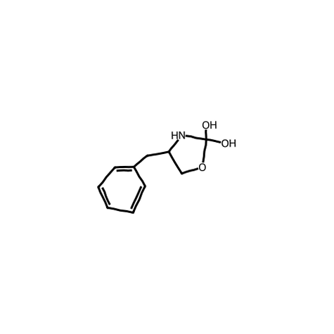 OC1(O)NC(Cc2ccccc2)CO1